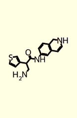 NCC(C(=O)Nc1ccc2c(c1)C=CNC2)c1ccsc1